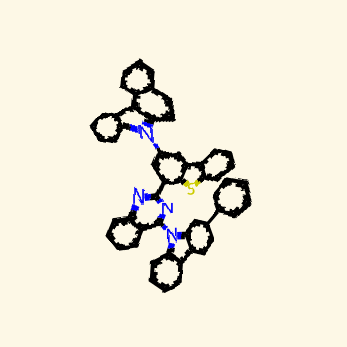 c1ccc(-c2ccc3c4ccccc4n(-c4nc(-c5cc(-n6c7ccccc7c7c8ccccc8ccc76)cc6c5sc5ccccc56)nc5ccccc45)c3c2)cc1